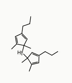 CCCC1=C[C](C)([Hf][C]2(C)C=C(CCC)C=C2C)C(C)=C1